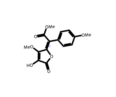 COC(=O)/C(=C1/OC(=O)C(O)=C1OC)c1ccc(OC)cc1